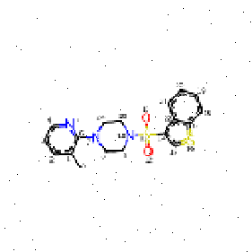 Cc1cccnc1N1CCN(S(=O)(=O)c2csc3ccccc23)CC1